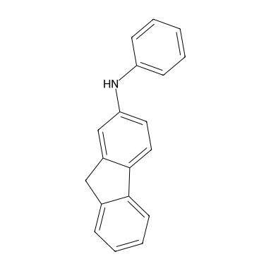 c1ccc(Nc2ccc3c(c2)Cc2ccccc2-3)cc1